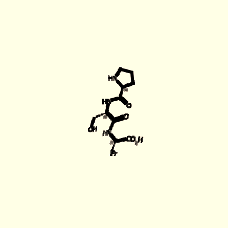 CC(C)[C@H](NC(=O)[C@H](CO)NC(=O)[C@@H]1CCCN1)C(=O)O